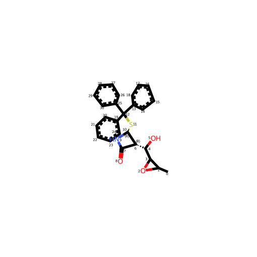 CC1OC1C(O)[C@@H]1C(=O)N[C@@H]1SC(c1ccccc1)(c1ccccc1)c1ccccc1